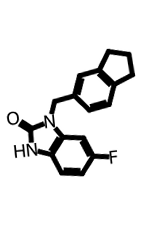 O=c1[nH]c2ccc(F)cc2n1Cc1ccc2c(c1)CCC2